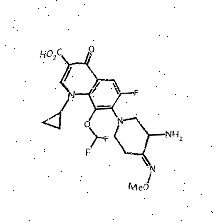 CON=C1CCN(c2c(F)cc3c(=O)c(C(=O)O)cn(C4CC4)c3c2OC(F)F)CC1N